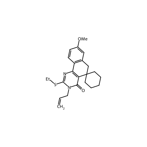 C=CCn1c(SCC)nc2c(c1=O)C1(CCCCC1)Cc1cc(OC)ccc1-2